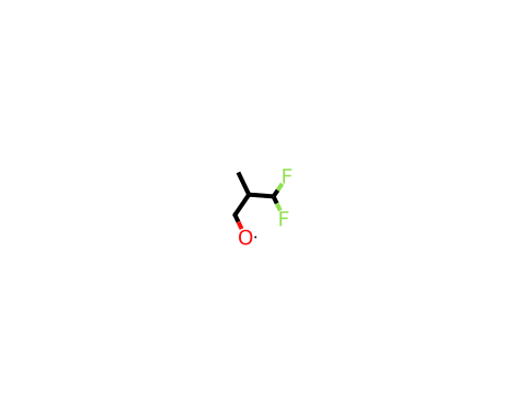 CC(C[O])C(F)F